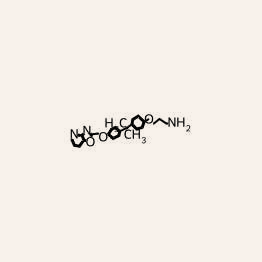 CC(C)(c1ccc(OCCCN)cc1)c1ccc(OCc2nc3ncccc3o2)cc1